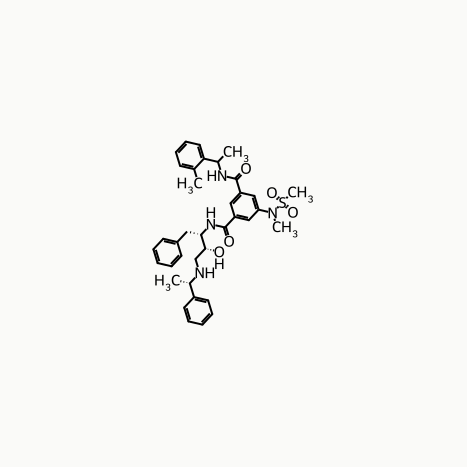 Cc1ccccc1C(C)NC(=O)c1cc(C(=O)N[C@@H](Cc2ccccc2)[C@H](O)CN[C@@H](C)c2ccccc2)cc(N(C)S(C)(=O)=O)c1